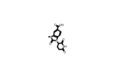 Cn1c(=O)n(C2CCC(=O)NC2=O)c2ccc(C(=O)O)cc21